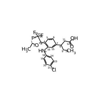 CCO[C@@H](c1ccc(C(CC)CC(=O)O)cc1Nc1ccc(Cl)cc1)C(F)(F)F